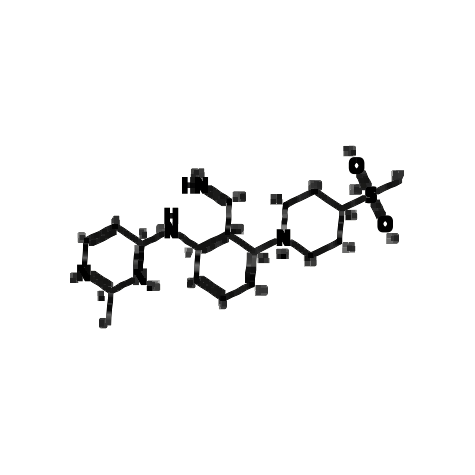 Cc1nccc(Nc2cccc(N3CCC(S(C)(=O)=O)CC3)c2C=N)n1